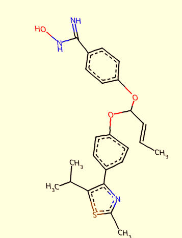 CC=CC(Oc1ccc(C(=N)NO)cc1)Oc1ccc(-c2nc(C)sc2C(C)C)cc1